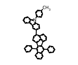 Cc1ccc(-n2c3ccccc3c3cc(-c4ccc5c6c(cccc46)-c4c-5c(-c5ccccc5)c5ccccc5c4-c4ccccc4)ccc32)cc1